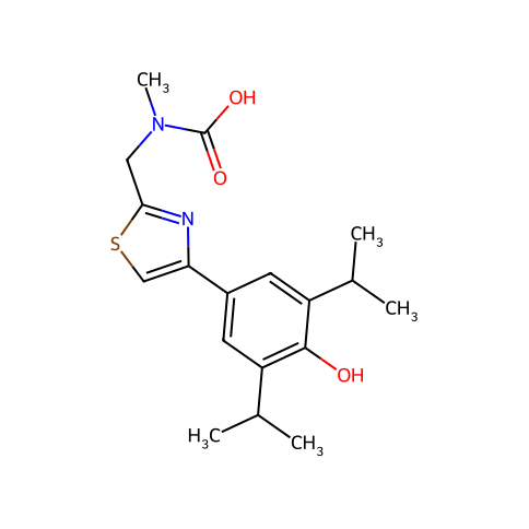 CC(C)c1cc(-c2csc(CN(C)C(=O)O)n2)cc(C(C)C)c1O